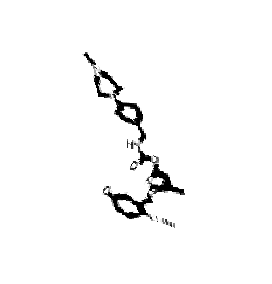 Cc1cc(OC(=O)NCc2ccc(N3CCN(C)CC3)cc2)nn1Cc1cc(Cl)ccc1OCC(C)C